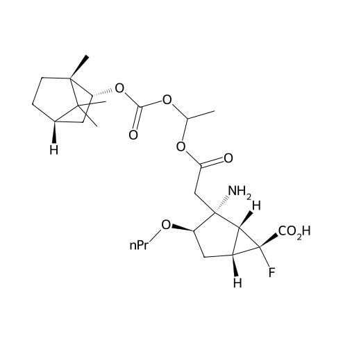 CCCO[C@@H]1C[C@@H]2[C@H]([C@]1(N)CC(=O)OC(C)OC(=O)O[C@@H]1C[C@@H]3CC[C@@]1(C)C3(C)C)[C@@]2(F)C(=O)O